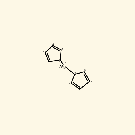 C1=C[CH]([Mg][CH]2C=CC=C2)C=C1